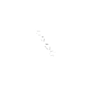 CC1CCC(c2ccc(-c3ccc(C4CCC(S)CC4)cc3)cc2)CC1